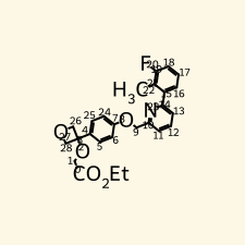 CCOC(=O)COC1(c2ccc(OCc3cccc(-c4cccc(F)c4C)n3)cc2)COC1